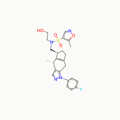 Cc1oncc1S(=O)(=O)N(CCO)C[C@H]1CCC2=C1[C@@H](C)c1cnn(-c3ccc(F)cc3)c1C2